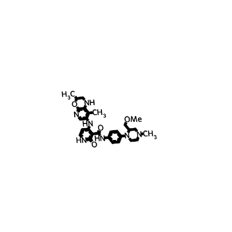 COCC1CN(C)CCN1c1ccc(NC(=O)c2c(Nc3cnc4c(c3C)NCC(C)O4)cc[nH]c2=O)cc1